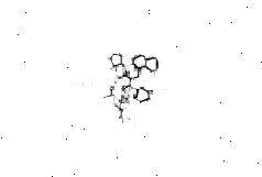 CC1C(C(=O)O)n2c(c(-c3cccc(C(F)(F)F)c3)c(Cc3cccc4ccccc34)c(NC3CCCC3)c2=O)S(=O)(=O)N1CCCO